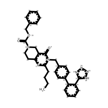 CCCCc1nc2c(c(=O)n1Cc1ccc(-c3ccccc3-c3nnn[nH]3)cc1)CN(C(=O)OCc1ccccc1)CC2